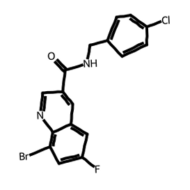 O=C(NCc1ccc(Cl)cc1)c1cnc2c(Br)cc(F)cc2c1